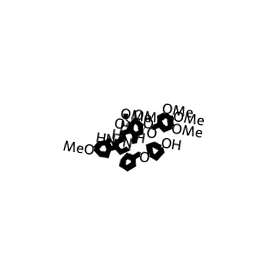 COC(=O)[C@H]1[C@H]2C[C@@H]3c4[nH]c5cc(OC)ccc5c4CCN3C[C@H]2C[C@@H](OC(=O)c2cc(OC)c(OC)c(OC)c2)[C@@H]1OC.Oc1ccc(OCc2ccccc2)cc1